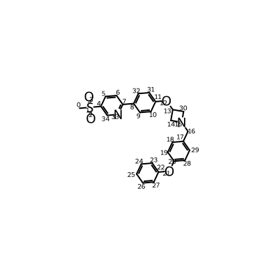 CS(=O)(=O)c1ccc(-c2ccc(OC3CN(Cc4ccc(Oc5ccccc5)cc4)C3)cc2)nc1